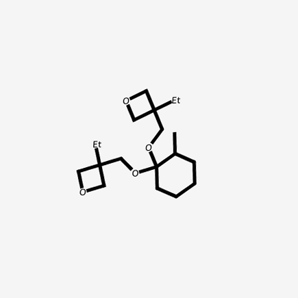 CCC1(COC2(OCC3(CC)COC3)CCCCC2C)COC1